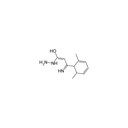 CC1=CC=CC(C)C1C(=N)/C=C(/O)NN